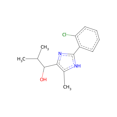 Cc1[nH]c(-c2ccccc2Cl)nc1C(O)C(C)C